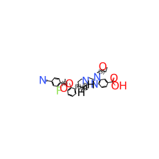 C[C@]1(c2ccc(C#N)cc2F)Oc2cccc([C@@H]3CCN(Cc4nc5ccc(C(=O)O)cc5n4C[C@@H]4CCO4)[C@@H]4C[C@@H]43)c2O1